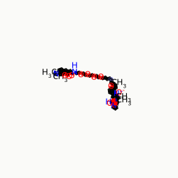 CN(C)c1ccc2cc(CC(=O)NCCOCCOCCOCCOCCC/C=C\CC3(C)C=Cc4c(ccc5c4[N+]([O-])=C4C5=C[C@@]56NC(=O)[C@]7(CCCN7C5=O)CC6C4(C)C)O3)c(=O)oc2c1